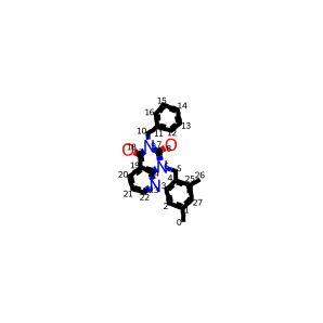 Cc1ccc(Cn2c(=O)n(Cc3ccccc3)c(=O)c3cccnc32)c(C)c1